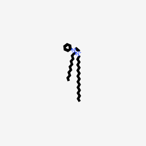 CCCCCCCCCCCCCCCCC[n+]1ccn(-c2ccccc2)c1CCCCCCCCCC